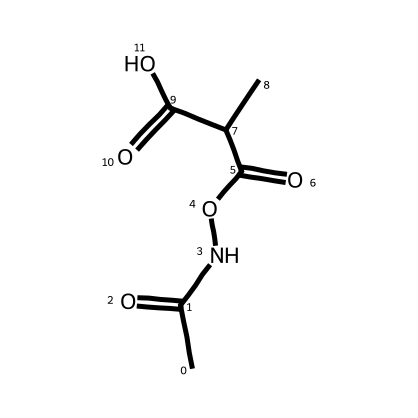 CC(=O)NOC(=O)C(C)C(=O)O